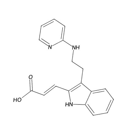 O=C(O)/C=C/c1[nH]c2ccccc2c1CCNc1ccccn1